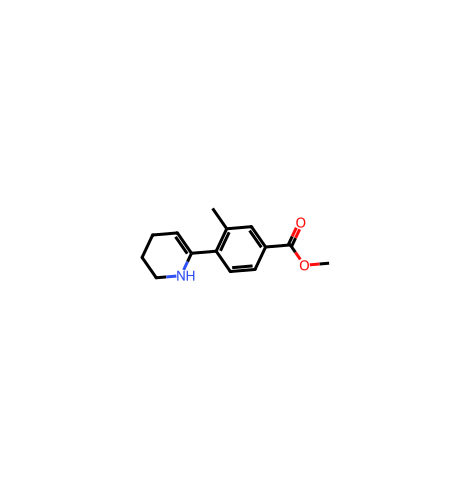 COC(=O)c1ccc(C2=CCCCN2)c(C)c1